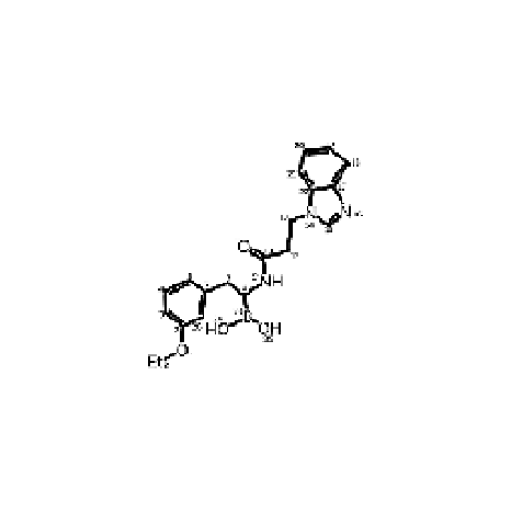 CCOc1cccc(CC(NC(=O)CCn2cnc3ccccc32)B(O)O)c1